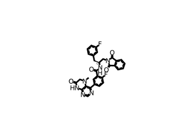 CN1CC(=O)Nc2ncnc(-c3ccc(F)c(C(=O)N[C@@H](Cc4cccc(F)c4)CN4C(=O)c5ccccc5C4=O)c3)c21